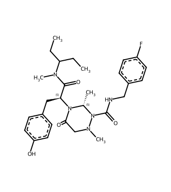 CCC(CC)N(C)C(=O)[C@H](Cc1ccc(O)cc1)N1C(=O)CN(C)N(C(=O)NCc2ccc(F)cc2)[C@H]1C